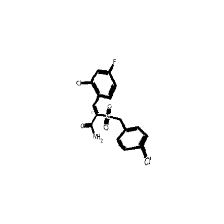 NC(=O)/C(=C/c1ccc(F)cc1Cl)S(=O)(=O)Cc1ccc(Cl)cc1